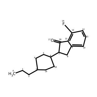 CCCC1CCC(C2Cc3cccc(F)c3C2=O)CC1